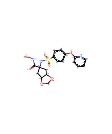 O=C(NO)C1(NS(=O)(=O)c2ccc(Oc3ccccn3)cc2)CC2OCOC2C1